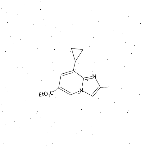 CCOC(=O)c1cc(C2CC2)c2nc(C)cn2c1